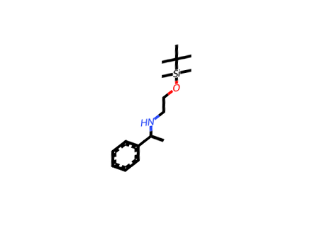 CC(NCCO[Si](C)(C)C(C)(C)C)c1ccccc1